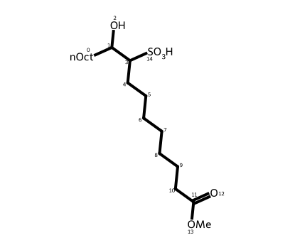 CCCCCCCCC(O)C(CCCCCCCC(=O)OC)S(=O)(=O)O